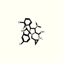 C[C@H](O)[C@@H]1[C@H](N(I)I)C(c2cccc(Cl)c2F)[C@@]2(C(=O)Nc3cc(Cl)ccc32)N1CC1CC1